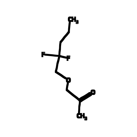 CCCC(F)(F)COCC(C)=O